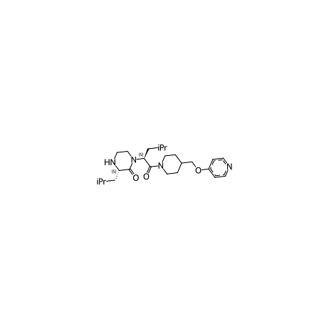 CC(C)C[C@@H]1NCCN([C@@H](CC(C)C)C(=O)N2CCC(COc3ccncc3)CC2)C1=O